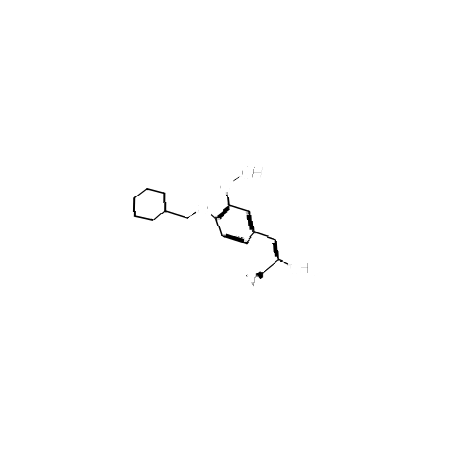 COc1cc(/C=C(/C)C#N)ccc1OCC1CCCCC1